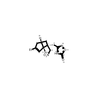 CCC1=C[C@@H]2[C@H](C1)C[C@@]2(Cc1noc(=O)[nH]1)C[N+](=O)[O-]